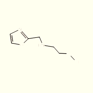 COCCNCc1ncco1